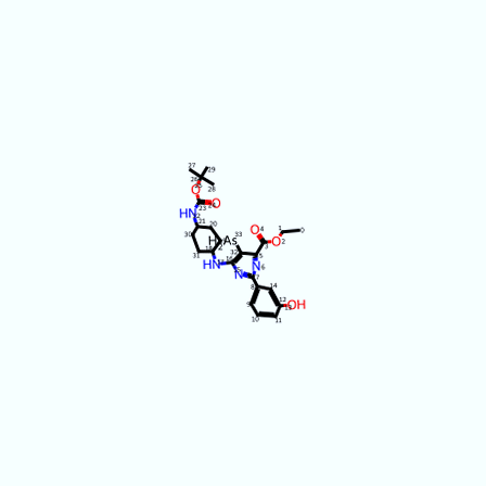 CCOC(=O)c1nc(-c2cccc(O)c2)nc(NC2CCC(NC(=O)OC(C)(C)C)CC2)c1[AsH2]